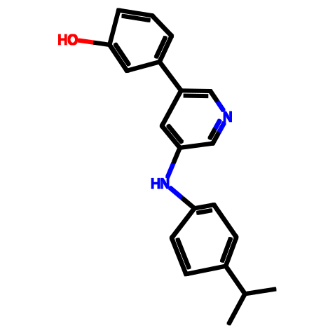 CC(C)c1ccc(Nc2cncc(-c3cccc(O)c3)c2)cc1